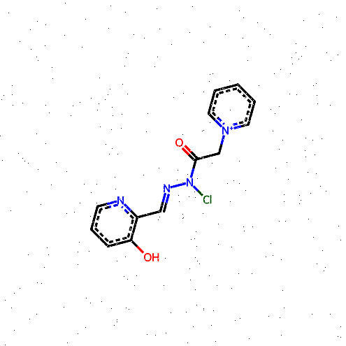 O=C(C[n+]1ccccc1)N(Cl)N=Cc1ncccc1O